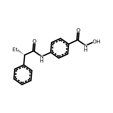 CC[C@H](C(=O)Nc1ccc(C(=O)NO)cc1)c1ccccc1